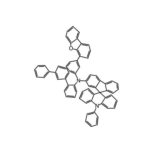 c1ccc(-c2cccc(-c3ccccc3N(c3cccc(-c4cccc5c4oc4ccccc45)c3)c3ccc4c(c3)C3(c5ccccc5-4)c4ccccc4N(c4ccccc4)c4ccccc43)c2)cc1